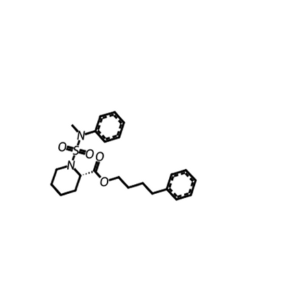 CN(c1ccccc1)S(=O)(=O)N1CCCC[C@H]1C(=O)OCCCCc1ccccc1